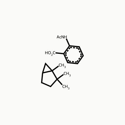 CC(=O)Nc1ccccc1C(=O)O.CC1(C)CCC2CC21C